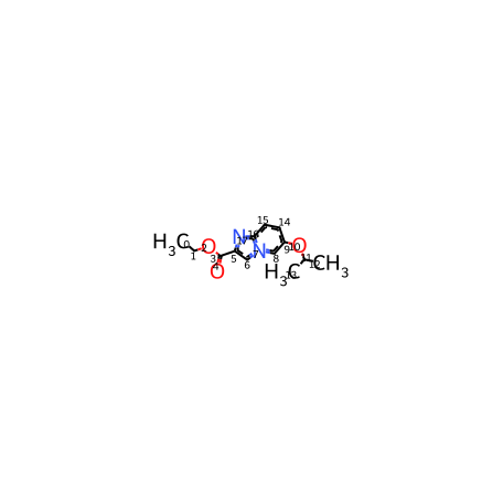 CCOC(=O)c1cn2cc(OC(C)C)ccc2n1